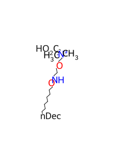 CCCCCCCCCCCCCCCCCCONCCCOCC[N+](C)(C)CC(=O)O